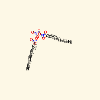 O=[N+]([O-])[O-].O=[N+]([O-])[O-].O=[N+]([O-])[O-].[H-].[H-].[H-].[H-].[H-].[H-].[H-].[H-].[H-].[H-].[H-].[H-].[H-].[H-].[H-].[H-].[H-].[H-].[Y+3].[Y+3].[Y+3].[Y+3].[Y+3].[Y+3].[Y+3]